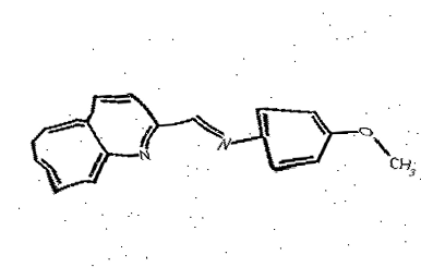 COc1ccc(N=Cc2ccc3ccccc3n2)cc1